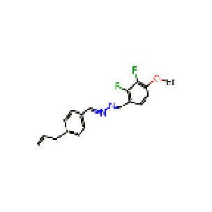 C=CCc1ccc(C=NN=Cc2ccc(OCC)c(F)c2F)cc1